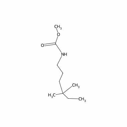 CCC(C)(C)CCCNC(=O)OC